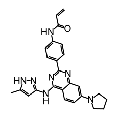 C=CC(=O)Nc1ccc(-c2nc(Nc3cc(C)[nH]n3)c3ccc(N4CCCC4)cc3n2)cc1